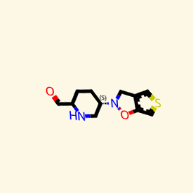 O=CC1CC[C@H](N2Cc3cscc3O2)CN1